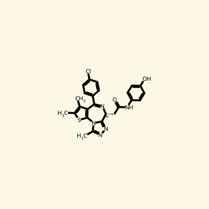 Cc1sc2c(c1C)C(c1ccc(Cl)cc1)=N[C@H](CC(=O)Nc1ccc(O)cc1)c1nnc(C)n1-2